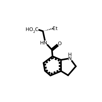 CC[C@H](NC(=O)c1cccc2c1NCC2)C(=O)O